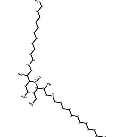 CCCCCCCCCCCCOCC(O)C(CCO)[S+]([O-])C(CCO)C(O)COCCCCCCCCCCCC